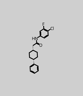 O=C(C[C@H]1CC[C@@H](c2ccccc2)CC1)Nc1ccc(Cl)c(F)c1